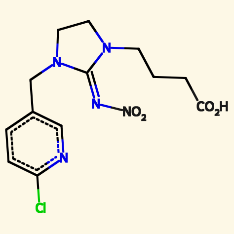 O=C(O)CCCN1CCN(Cc2ccc(Cl)nc2)C1=N[N+](=O)[O-]